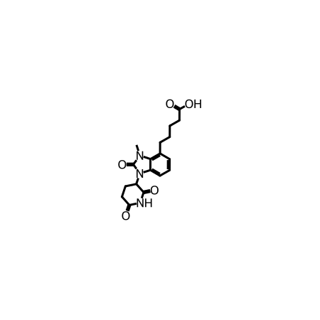 Cn1c(=O)n(C2CCC(=O)NC2=O)c2cccc(CCCCC(=O)O)c21